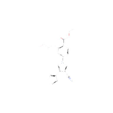 CCOC(=O)c1ccc(-n2cc(C#N)c(-c3ccsc3)c2)cc1OCOC